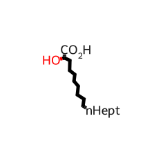 CCCCCCCCCCCCCCCC(O)C(=O)O